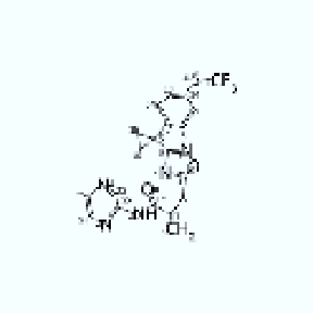 C=C(Cc1nc(C2(c3ccc(SC(F)(F)F)cc3)CC2)no1)C(=O)Nc1cnccn1